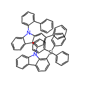 c1ccc(-c2cc(-n3c4ccccc4c4cccc([Si](c5ccccc5)(c5ccccc5)c5ccccc5)c43)c3c4ccccc4n(-c4ccccc4-c4ccccc4)c3c2)cc1